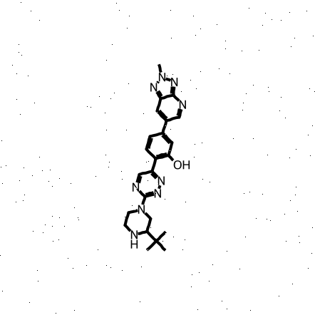 Cn1nc2cc(-c3ccc(-c4cnc(N5CCNC(C(C)(C)C)C5)nn4)c(O)c3)cnc2n1